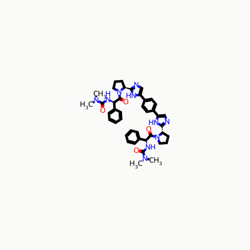 CN(C)C(=O)N[C@@H](C(=O)N1CCC[C@H]1c1ncc(-c2ccc(-c3cnc([C@@H]4CCCN4C(=O)[C@H](NC(=O)N(C)C)c4ccccc4)[nH]3)cc2)[nH]1)c1ccccc1